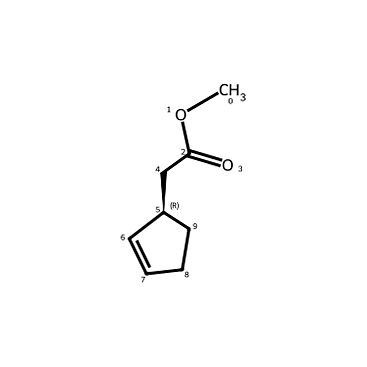 COC(=O)C[C@@H]1C=CCC1